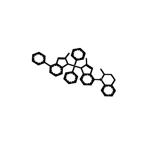 CC1=Cc2c(-c3ccccc3)cccc2C1S(c1ccccc1)(c1ccccc1)C1C(C)=Cc2c1cccc2N1c2ccccc2CCC1C